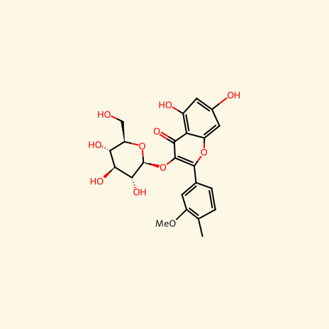 COc1cc(-c2oc3cc(O)cc(O)c3c(=O)c2O[C@@H]2O[C@H](CO)[C@@H](O)[C@H](O)[C@H]2O)ccc1C